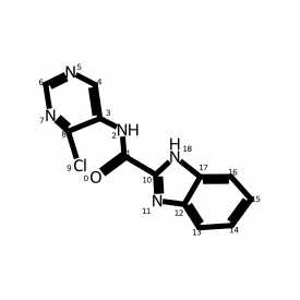 O=C(Nc1cncnc1Cl)c1nc2ccccc2[nH]1